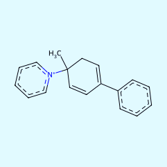 CC1([n+]2ccccc2)C=CC(c2ccccc2)=CC1